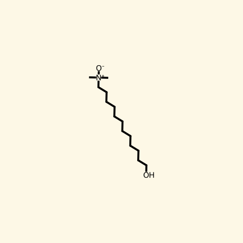 C[N+](C)([O-])CCCCCCCCCCCCO